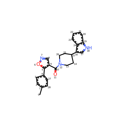 Cc1ccc(-c2oncc2C(=O)N2CCC(c3c[nH]c4ccccc34)CC2)cc1